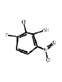 O=[N+]([O-])c1ccc(F)c(Cl)c1S